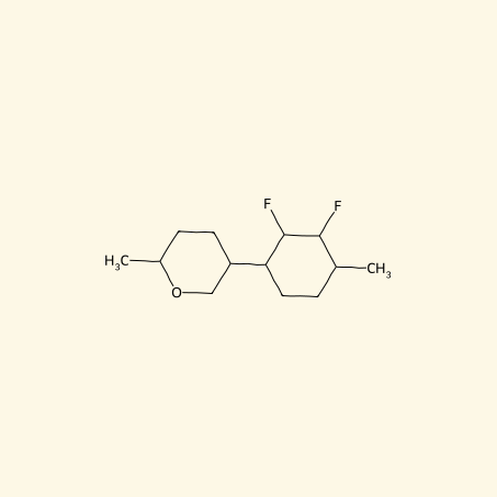 CC1CCC(C2CCC(C)C(F)C2F)CO1